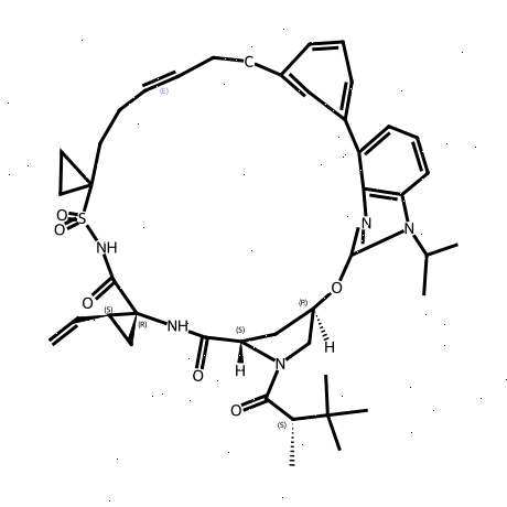 C=C[C@@H]1C[C@@]12NC(=O)[C@@H]1C[C@H](CN1C(=O)[C@@H](C)C(C)(C)C)Oc1nc3c(cccc3n1C(C)C)-c1cccc(c1)CC/C=C/CCC1(CC1)S(=O)(=O)NC2=O